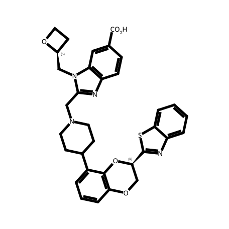 O=C(O)c1ccc2nc(CN3CCC(c4cccc5c4O[C@@H](c4nc6ccccc6s4)CO5)CC3)n(C[C@@H]3CCO3)c2c1